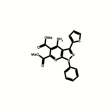 COC(=O)c1nc2c(c(-c3cccs3)nn2-c2ccccc2)c(N)c1C(=O)OC